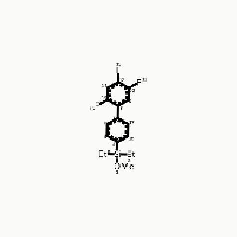 CC[Si](CC)(OC)c1ccc(-c2cc(F)c(F)cc2F)cc1